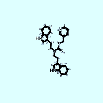 S=C(SCc1cccnc1)N(CCc1c[nH]c2ccccc12)CCc1c[nH]c2ccccc12